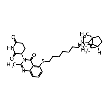 Cc1nc2cccc(SCCCCCCCN[C@H]3C[C@H]4CC[C@]3(C)C4(C)C)c2c(=O)n1[C@H]1CCC(=O)NC1=O